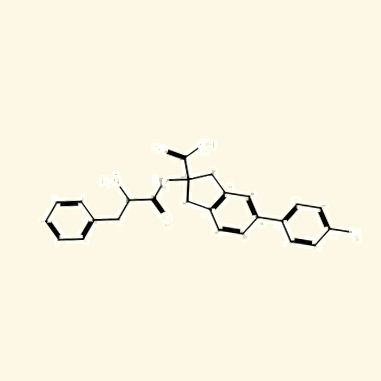 NC(Cc1ccccc1)C(=O)NC1(C(=O)O)Cc2ccc(-c3ccc(Cl)cc3)cc2C1